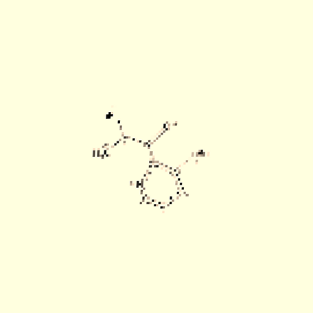 CCCCc1cccnc1C(=O)N(C)CCCC